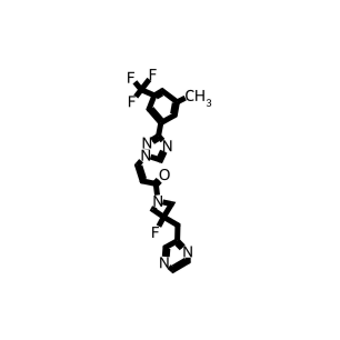 Cc1cc(-c2ncn(/C=C\C(=O)N3CC(F)(Cc4cnccn4)C3)n2)cc(C(F)(F)F)c1